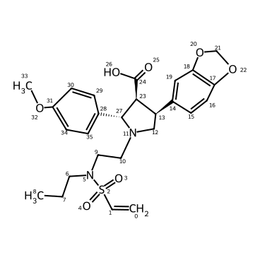 C=CS(=O)(=O)N(CCC)CCN1C[C@H](c2ccc3c(c2)OCO3)[C@H](C(=O)O)[C@H]1c1ccc(OC)cc1